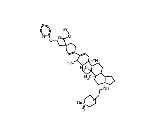 CC(C)OC(=O)C1(CCOc2ccccn2)CC=C(C2=CCC3(C)C(CCC4(C)C3CCC3C5CCCC5(NCCN5CCS(=O)(=O)CC5)CC[C@]34C)C2C)CC1